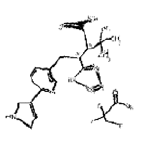 CC(C)(C)[C@H](C(=O)O)[C@H](Cc1ccc(C2=CCNC2)nc1)c1nnn[nH]1.O=C(O)C(F)(F)F